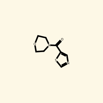 O=C(c1cncs1)N1CCOCC1